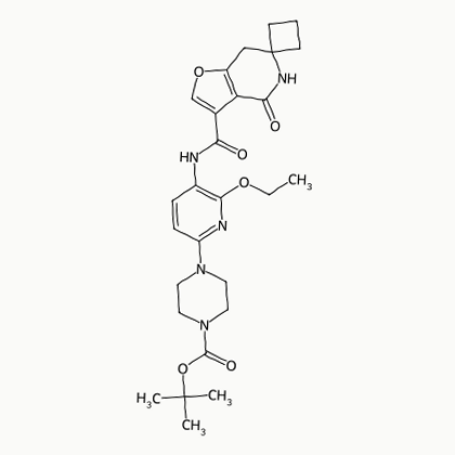 CCOc1nc(N2CCN(C(=O)OC(C)(C)C)CC2)ccc1NC(=O)c1coc2c1C(=O)NC1(CCC1)C2